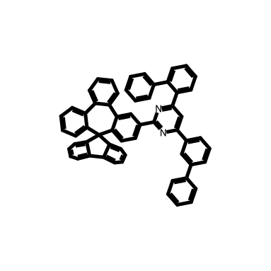 c1ccc(-c2cccc(-c3cc(-c4ccccc4-c4ccccc4)nc(-c4ccc5c(c4)-c4ccccc4-c4ccccc4C54c5ccccc5-c5ccccc54)n3)c2)cc1